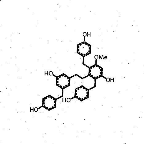 COc1cc(O)c(Cc2ccc(O)cc2)c(CCc2cc(O)cc(Cc3ccc(O)cc3)c2)c1Cc1ccc(O)cc1